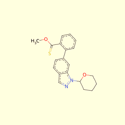 COC(=S)c1ccccc1-c1ccc2cnn(C3CCCCO3)c2c1